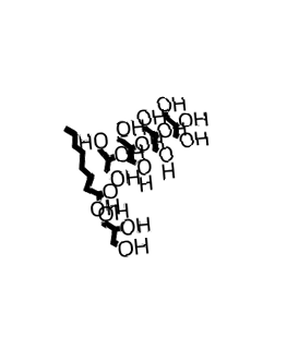 CCCCCCCC(=O)O.OCC(O)CO.OCC(O)CO.OCC(O)CO.OCC(O)CO.OCC(O)CO